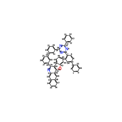 c1ccc(-c2ccc(-c3nc(-c4ccccc4)nc(-c4cccc(-c5cccc(-c6nc7cc8ccccc8cc7c7oc8ccccc8c67)c5)c4)n3)cc2)cc1